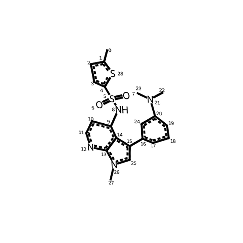 Cc1ccc(S(=O)(=O)Nc2ccnc3c2c(-c2cccc(N(C)C)c2)cn3C)s1